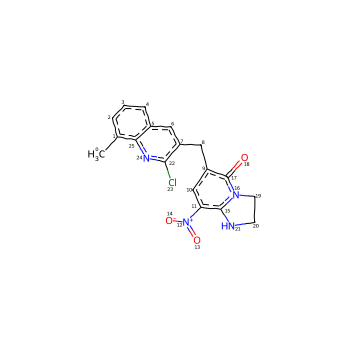 Cc1cccc2cc(Cc3cc([N+](=O)[O-])c4n(c3=O)CCN4)c(Cl)nc12